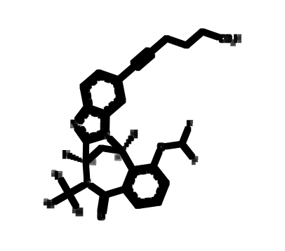 [2H]C([2H])([2H])N1C(=O)c2cccc(OC(F)F)c2[C@H]2C[C@@H]1c1nc3ccc(C#CCCCC(=O)O)cc3n12